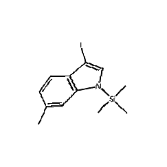 Cc1ccc2c(I)cn([Si](C)(C)C)c2c1